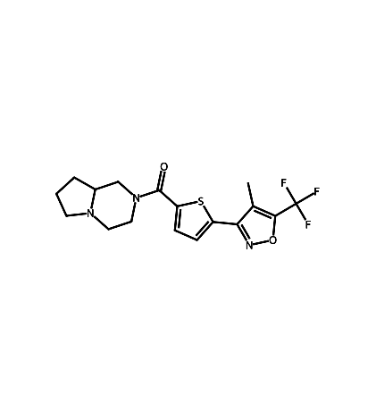 Cc1c(-c2ccc(C(=O)N3CCN4CCCC4C3)s2)noc1C(F)(F)F